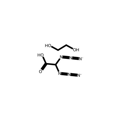 OCCO.[N-]=[N+]=NC(N=[N+]=[N-])C(=O)O